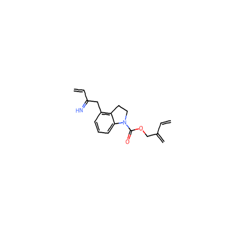 C=CC(=C)COC(=O)N1CCc2c(CC(=N)C=C)cccc21